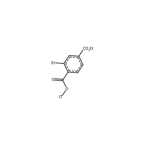 CCOC(=O)c1ccc(C(=O)OCl)c(CC)c1